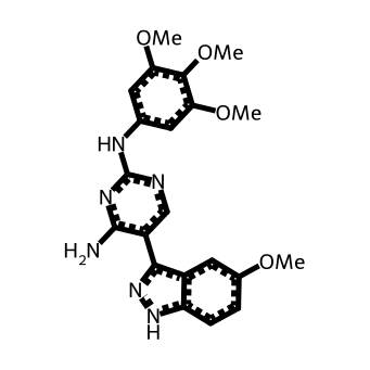 COc1ccc2[nH]nc(-c3cnc(Nc4cc(OC)c(OC)c(OC)c4)nc3N)c2c1